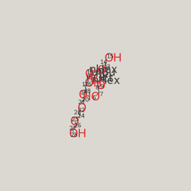 CCCCCCCCOCCCCCC.CCCCCCOCCCC.OCCOCCOCCO.OCCOCCOCCOCCO